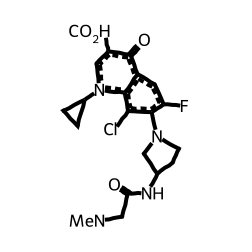 CNCC(=O)NC1CCN(c2c(F)cc3c(=O)c(C(=O)O)cn(C4CC4)c3c2Cl)C1